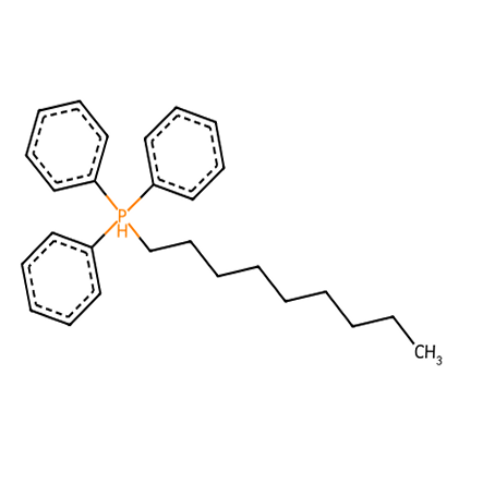 CCCCCCCCC[PH](c1ccccc1)(c1ccccc1)c1ccccc1